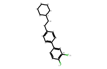 Fc1ccc(-c2ccc(CCC3CCCCC3)cc2)cc1F